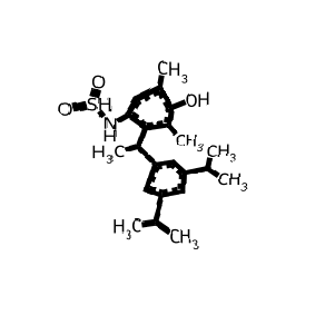 Cc1cc(N[SH](=O)=O)c(C(C)c2cc(C(C)C)cc(C(C)C)c2)c(C)c1O